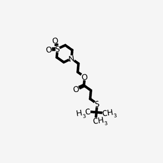 CC(C)(C)SCCC(=O)OCCN1CCS(=O)(=O)CC1